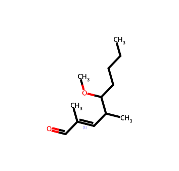 CCCCC(OC)C(C)/C=C(\C)C=O